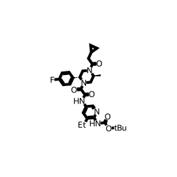 CCc1cc(NC(=O)C(=O)N2C[C@H](C)N(C(=O)CC3CC3)C[C@H]2c2ccc(F)cc2)cnc1NC(=O)OC(C)(C)C